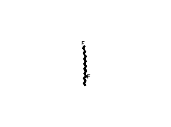 CCCCC(F)CCCCCCCCCCCCF